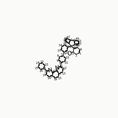 C1=CCC2Oc3c(-c4ccc(-c5ccc6ccc7ccc(-c8ccccc8)nc7c6n5)cc4)cccc3C3(C2=C1)c1ccccc1-c1ccccc13